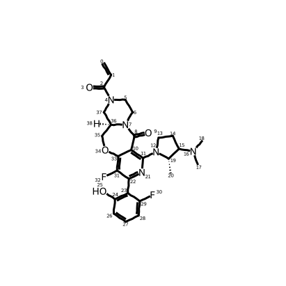 C=CC(=O)N1CCN2C(=O)c3c(N4CCC(N(C)C)[C@@H]4C)nc(-c4c(O)cccc4F)c(F)c3OC[C@H]2C1